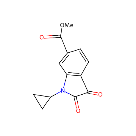 COC(=O)c1ccc2c(c1)N(C1CC1)C(=O)C2=O